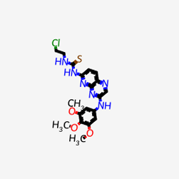 COc1cc(Nc2cnc3ccc(NC(=S)NCCCl)nc3n2)cc(OC)c1OC